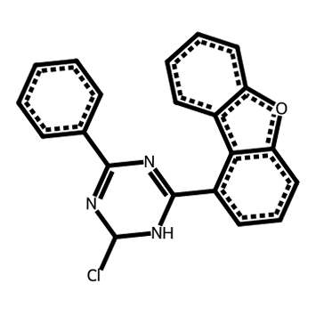 ClC1N=C(c2ccccc2)N=C(c2cccc3oc4ccccc4c23)N1